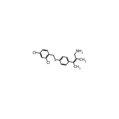 CC(CN)=C(C)c1ccc(SCc2ccc(Cl)cc2Cl)cc1